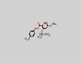 C[SiH](C)OC(CC(=O)OC(C)(C)C)=C(C(=O)OCc1ccc([N+](=O)[O-])cc1)C(C)(C)C